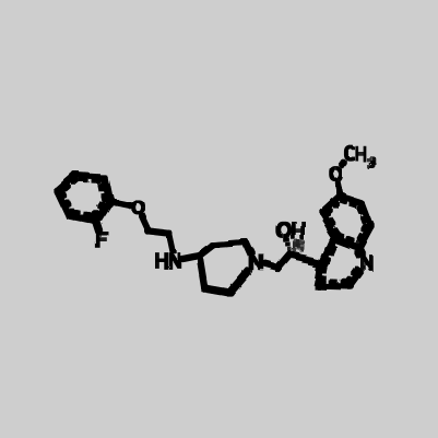 COc1ccc2nccc([C@@H](O)CN3CCC(NCCOc4ccccc4F)CC3)c2c1